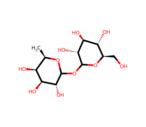 C[C@H]1OC(OC2O[C@H](CO)[C@@H](O)[C@H](O)[C@H]2O)[C@H](O)[C@@H](O)[C@H]1O